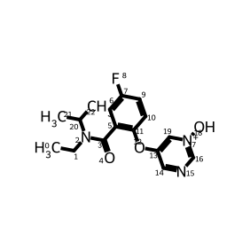 CCN(C(=O)c1cc(F)ccc1Oc1cnc[n+](O)c1)C(C)C